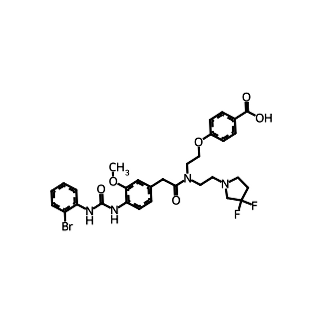 COc1cc(CC(=O)N(CCOc2ccc(C(=O)O)cc2)CCN2CCC(F)(F)C2)ccc1NC(=O)Nc1ccccc1Br